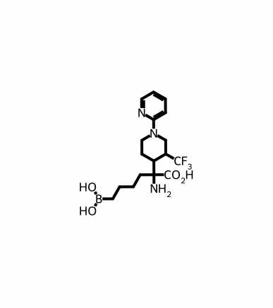 NC(CCCCB(O)O)(C(=O)O)C1CCN(c2ccccn2)CC1C(F)(F)F